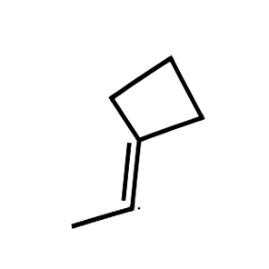 C[C]=C1CCC1